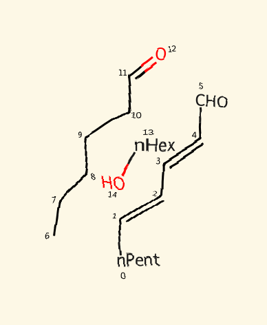 CCCCC/C=C/C=C/C=O.CCCCCC=O.CCCCCCO